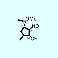 CON(C)[C@H]1CC(C)[C@H](O)[C@@H]1N=O